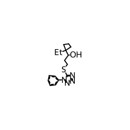 CCC1([C@@H](O)CCSc2nnnn2-c2ccccc2)CCC1